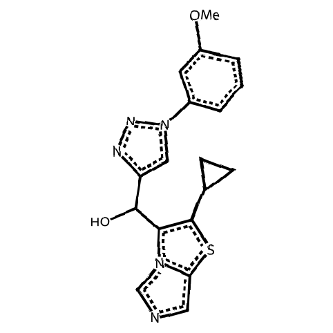 COc1cccc(-n2cc(C(O)c3c(C4CC4)sc4cncn34)nn2)c1